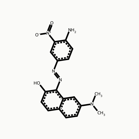 CN(C)c1ccc2ccc(O)c(N=Nc3ccc(N)c([N+](=O)[O-])c3)c2c1